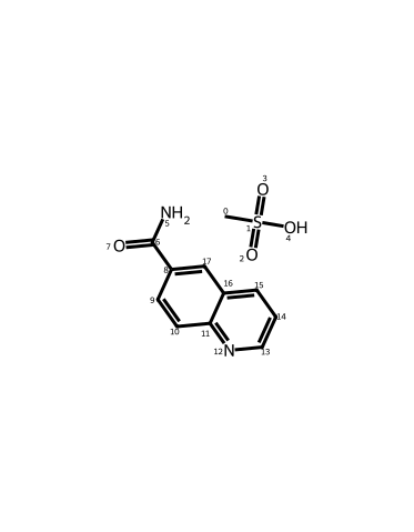 CS(=O)(=O)O.NC(=O)c1ccc2ncccc2c1